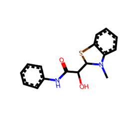 CN1c2ccccc2SC1C(O)C(=O)Nc1ccccc1